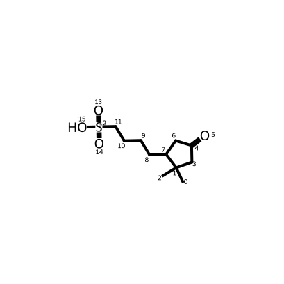 CC1(C)CC(=O)CC1CCCCS(=O)(=O)O